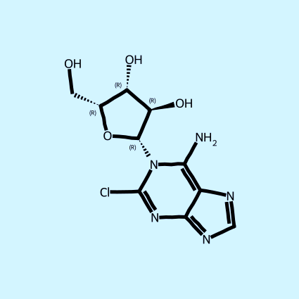 Nc1c2ncnc-2nc(Cl)n1[C@@H]1O[C@H](CO)[C@H](O)[C@H]1O